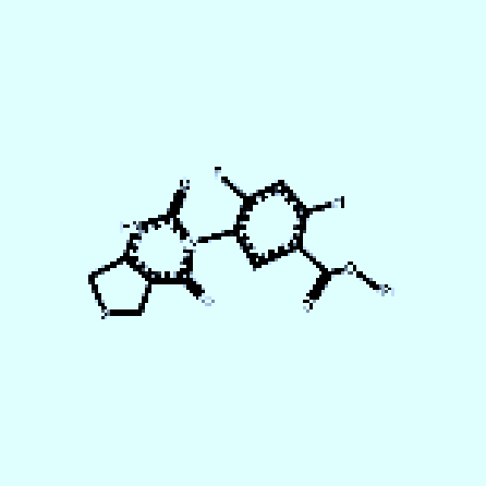 CC(C)OC(=O)c1cc(-n2c(=O)[nH]c3c(c2=O)CSC3)c(F)cc1Cl